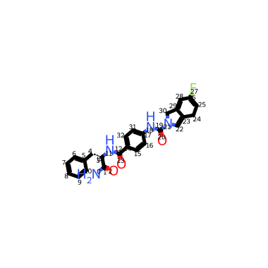 NC(=O)[C@H](Cc1ccccc1)NC(=O)c1ccc(NC(=O)N2C=C3CC=C(F)C=C3C2)cc1